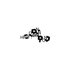 Cc1cc(Nc2ncnc3cccc(O[C@H](C)C(=O)N4CCNCC4)c23)ccc1Oc1ccccn1